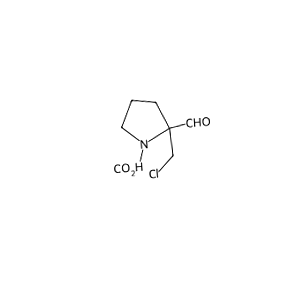 O=CC1(CCl)CCCN1C(=O)O